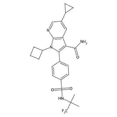 CC(C)(NS(=O)(=O)c1ccc(-c2c(C(N)=O)c3cc(C4CC4)cnc3n2C2CCC2)cc1)C(F)(F)F